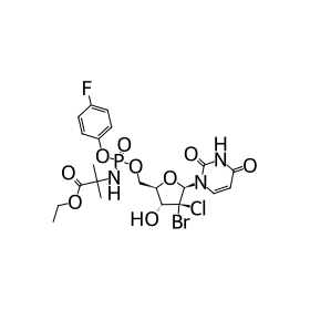 CCOC(=O)C(C)(C)N[P@](=O)(OC[C@H]1O[C@@H](n2ccc(=O)[nH]c2=O)[C@](Cl)(Br)[C@@H]1O)Oc1ccc(F)cc1